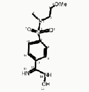 COCCN(C)S(=O)(=O)c1ccc(C(=N)NO)cc1